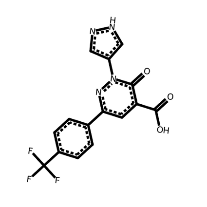 O=C(O)c1cc(-c2ccc(C(F)(F)F)cc2)nn(-c2cn[nH]c2)c1=O